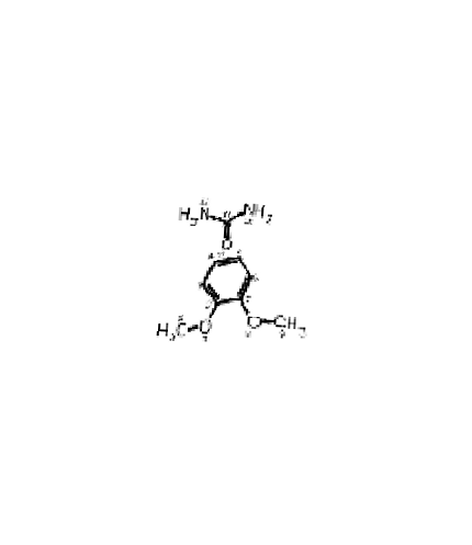 COc1ccccc1OC.NC(N)=O